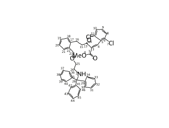 COC(=O)C(=Cc1c(Cl)cccc1Cl)C(=O)CCc1ccccc1COCCNC(c1ccccc1)(c1ccccc1)c1ccccc1